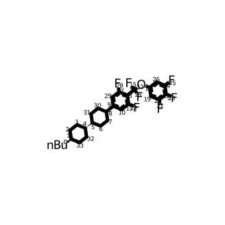 CCCC[C@H]1CC[C@H](C2CCC(c3cc(F)c(C(F)(F)Oc4cc(F)c(F)c(F)c4)c(F)c3)CC2)CC1